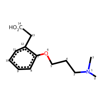 CN(C)CCCOc1ccccc1CC(=O)O